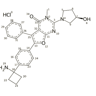 Cl.Cn1c(N2CC[C@@H](O)C2)nc2oc(-c3ccc(C4(N)CCC4)cc3)c(-c3ccccc3)c2c1=O